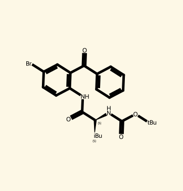 CC[C@H](C)[C@H](NC(=O)OC(C)(C)C)C(=O)Nc1ccc(Br)cc1C(=O)c1ccccc1